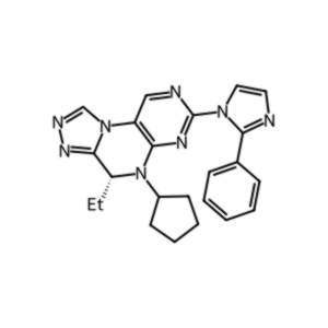 CC[C@@H]1c2nncn2-c2cnc(-n3ccnc3-c3ccccc3)nc2N1C1CCCC1